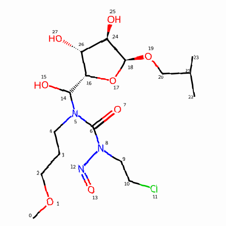 COCCCN(C(=O)N(CCCl)N=O)C(O)[C@H]1O[C@H](OCC(C)C)[C@H](O)[C@H]1O